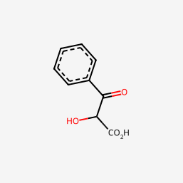 O=C(O)C(O)C(=O)c1ccccc1